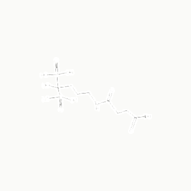 CCC(C)C(=O)CCC(=O)NCCCC(O)(P(=O)(O)O)P(=O)(O)O